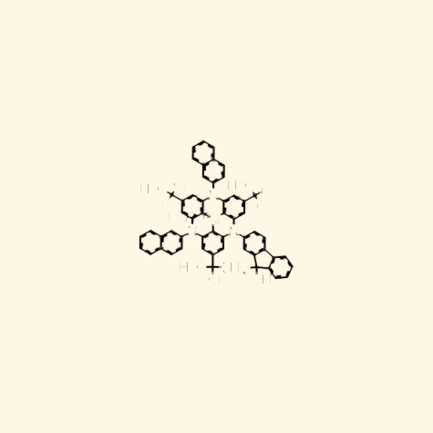 CC(C)(C)c1cc2c3c(c1)N(c1ccc4ccccc4c1)c1cc(C(C)(C)C)cc4c1[Si]3(C)c1c(cc(C(C)(C)C)cc1N4c1ccc3ccccc3c1)N2c1ccc2c(c1)C(C)(C)c1ccccc1-2